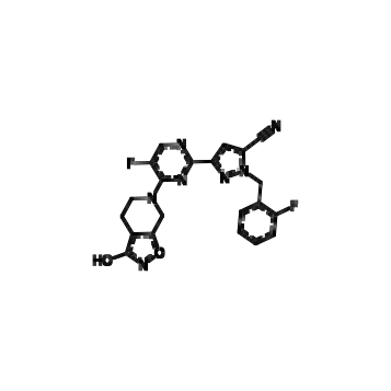 N#Cc1cc(-c2ncc(F)c(N3CCc4c(O)noc4C3)n2)nn1Cc1ccccc1F